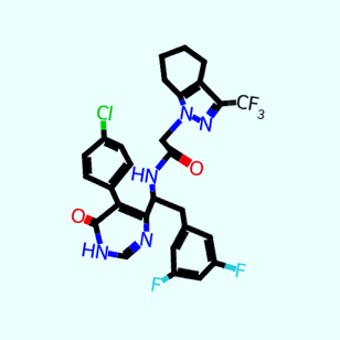 O=C(Cn1nc(C(F)(F)F)c2c1CCCC2)NC(Cc1cc(F)cc(F)c1)c1nc[nH]c(=O)c1-c1ccc(Cl)cc1